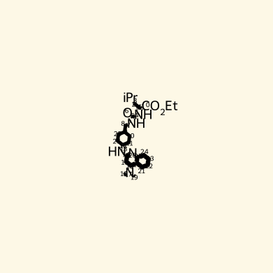 CCOC(=O)[C@H](CC(C)C)NC(=O)NCC1CCC(Nc2cc(N(C)C)c3ccccc3n2)CC1